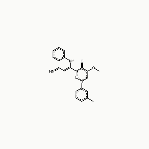 COc1cn(-c2cccc(C)c2)nc(/C(=C/C=N)Nc2ccccc2)c1=O